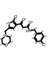 O=C(CC(=O)c1cc(CN2CCOCC2)sc1Cl)NCc1ccc(Cl)cc1